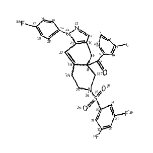 Cc1ccnc(C(=O)C23Cc4cnn(-c5ccc(F)cc5)c4C=C2CCN(S(=O)(=O)c2cc(F)cc(F)c2)C3)c1